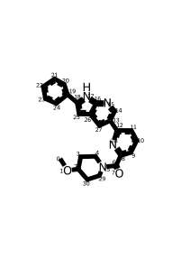 COC1CCN(C(=O)c2cccc(-c3cnc4[nH]c(-c5ccccc5)cc4c3)n2)CC1